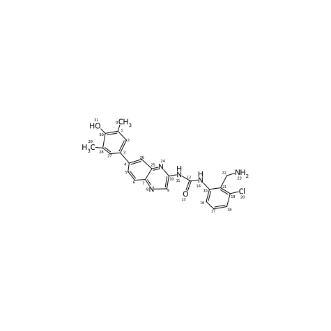 Cc1cc(-c2ccc3ncc(NC(=O)Nc4cccc(Cl)c4CN)nc3c2)cc(C)c1O